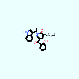 CCOC(=O)c1cc(C(=O)c2ccccc2O)cn(C(C)c2c[nH]c3ccccc23)c1=O